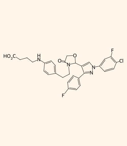 O=C(O)CCCNc1ccc(CCN2C(=O)COC2c2cn(-c3ccc(Cl)c(F)c3)nc2-c2ccc(F)cc2)cc1